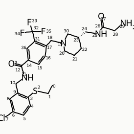 CCSc1ccc(Cl)cc1CNC(=O)c1ccc(CN2CCC[C@@H](CNC(=O)CN)C2)c(C(F)(F)F)c1